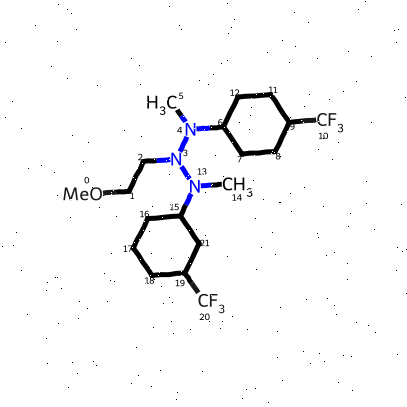 COCCN(N(C)C1CCC(C(F)(F)F)CC1)N(C)C1CCCC(C(F)(F)F)C1